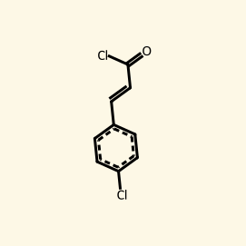 O=C(Cl)C=Cc1ccc(Cl)cc1